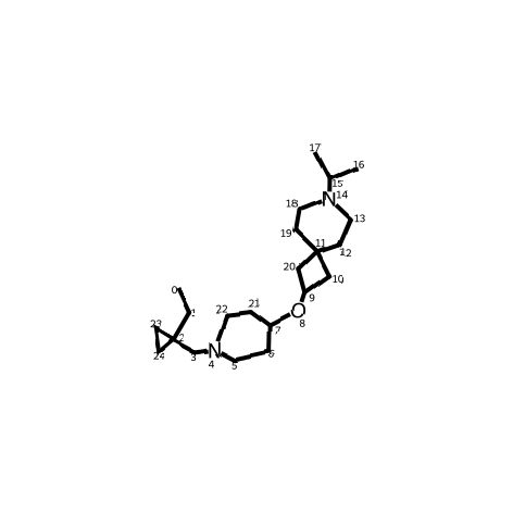 CCC1(CN2CCC(OC3CC4(CCN(C(C)C)CC4)C3)CC2)CC1